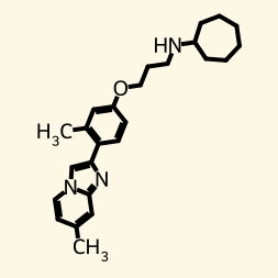 Cc1ccn2cc(-c3ccc(OCCCNC4CCCCCC4)cc3C)nc2c1